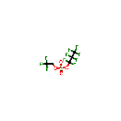 O=S(=O)(OCC(F)(F)F)OC(F)(F)C(F)(F)C(F)(F)F